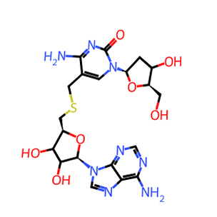 Nc1nc(=O)n([C@H]2CC(O)[C@@H](CO)O2)cc1CSC[C@H]1O[C@@H](n2cnc3c(N)ncnc32)C(O)C1O